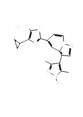 Cc1nn(C(C)C)c(C)c1-c1cnn2ccc(-c3nc(C4CC4)c(C(=O)O)s3)cc12